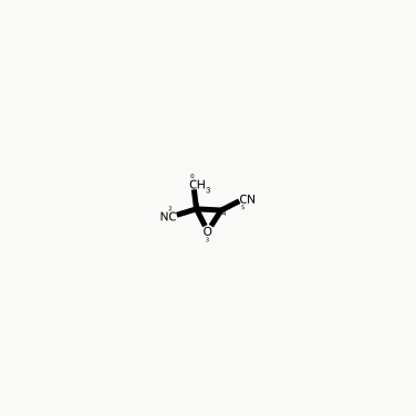 CC1(C#N)OC1C#N